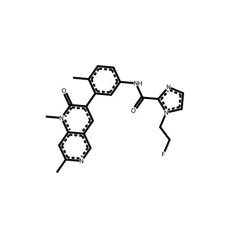 Cc1cc2c(cn1)cc(-c1cc(NC(=O)c3nccn3CCF)ccc1C)c(=O)n2C